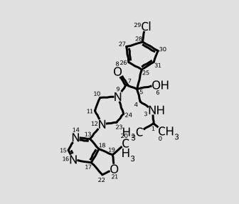 CC(C)NCC(O)(C(=O)N1CCN(c2ncnc3c2C(C)OC3)CC1)c1ccc(Cl)cc1